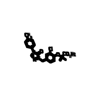 CCOC(=O)C(C)(C)Oc1ccc(Cn2ncn(-c3ccc(C(F)(F)F)cc3)c2=O)cc1Cl